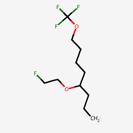 [CH2]CCC(CCCCOC(F)(F)F)OCCF